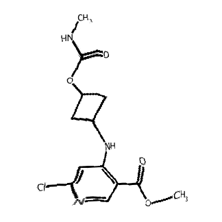 CNC(=O)OC1CC(Nc2cc(Cl)ncc2C(=O)OC)C1